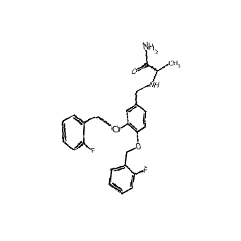 CC(NCc1ccc(OCc2ccccc2F)c(OCc2ccccc2F)c1)C(N)=O